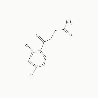 NC(=O)CCC(=O)c1ccc(Cl)cc1Cl